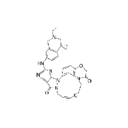 CCN1Cc2cc(Nc3ncc4c(=O)n5n(c4n3)-c3ccc4c(c3)N(CCC/C=C\C5)C(=O)CO4)ccc2C2(CC2)C1